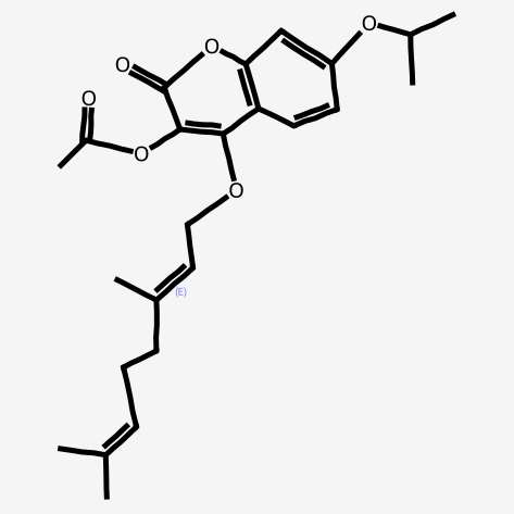 CC(=O)Oc1c(OC/C=C(\C)CCC=C(C)C)c2ccc(OC(C)C)cc2oc1=O